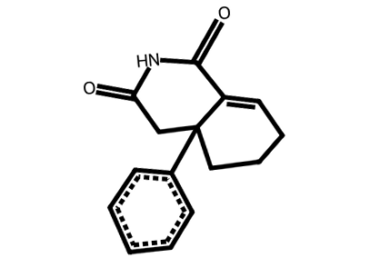 O=C1CC2(c3ccccc3)CCCC=C2C(=O)N1